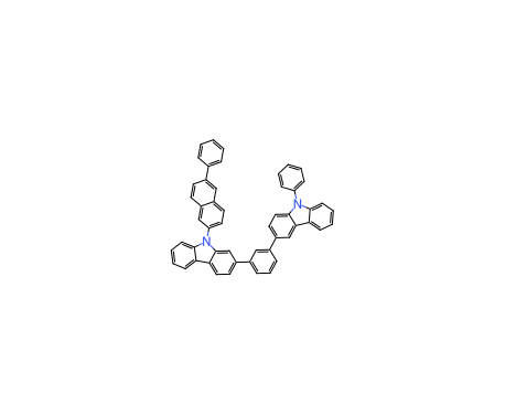 c1ccc(-c2ccc3cc(-n4c5ccccc5c5ccc(-c6cccc(-c7ccc8c(c7)c7ccccc7n8-c7ccccc7)c6)cc54)ccc3c2)cc1